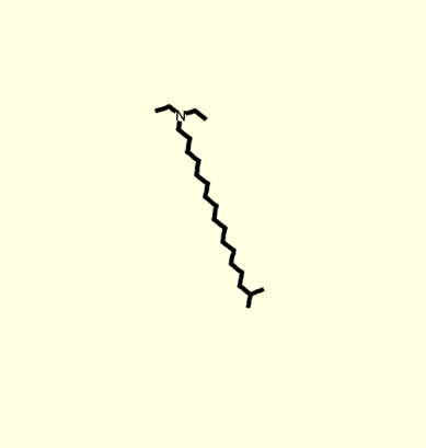 CCN(CC)CCCCCCCCCCCCCCCC(C)C